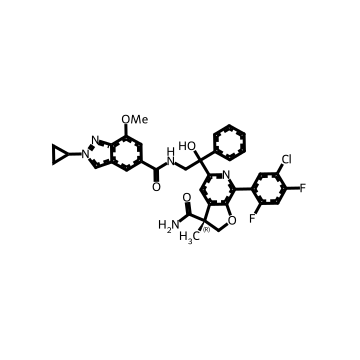 COc1cc(C(=O)NCC(O)(c2ccccc2)c2cc3c(c(-c4cc(Cl)c(F)cc4F)n2)OC[C@]3(C)C(N)=O)cc2cn(C3CC3)nc12